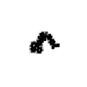 O=C(O)c1ccc(-c2cnc(NC(=O)C3(NC(=O)c4ccc5c(C6CCCCC6)c6n(c5c4)CC=Cc4ccccc4-6)CCCC3)s2)cc1